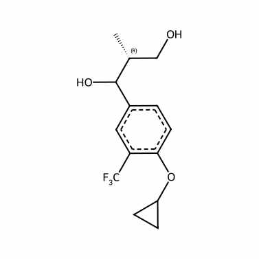 C[C@H](CO)C(O)c1ccc(OC2CC2)c(C(F)(F)F)c1